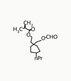 C=C(C)C(=O)OCCC1(CCOC=O)CCC(CCC)CC1